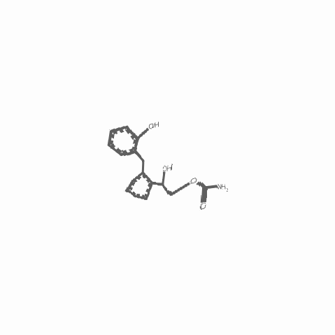 NC(=O)OCC(O)c1ccccc1Cc1ccccc1O